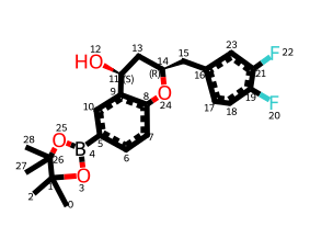 CC1(C)OB(c2ccc3c(c2)[C@@H](O)C[C@@H](Cc2ccc(F)c(F)c2)O3)OC1(C)C